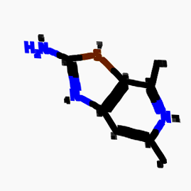 Cc1cc2nc(N)sc2c(C)n1